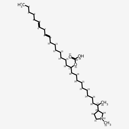 CCCCCC=CCC=CCCCCCCCC(CCCCCCCCCC(C)C1CCN(C)C1)OC(=O)O